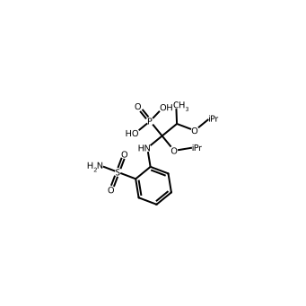 CC(C)OC(C)C(Nc1ccccc1S(N)(=O)=O)(OC(C)C)P(=O)(O)O